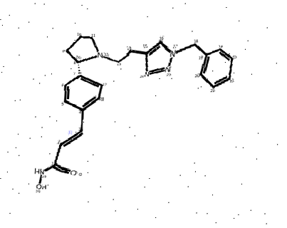 O=C(/C=C/c1ccc([C@@H]2CCCN2CCc2cn(Cc3ccccc3)nn2)cc1)NO